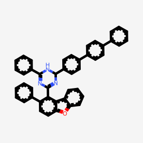 c1ccc(C2=NC(c3c(-c4ccccc4)ccc4oc5ccccc5c34)=NC(c3ccc(-c4ccc(-c5ccccc5)cc4)cc3)N2)cc1